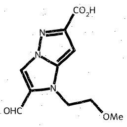 COCCn1c(C=O)cn2nc(C(=O)O)cc12